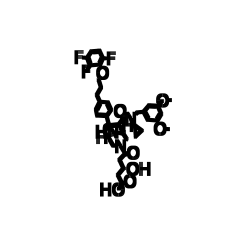 COc1cc(CN(C(=O)C2=C(c3ccc(CCCOc4c(F)ccc(F)c4F)cc3)C[C@@H]3CN(C(=O)C[C@H](O)CC(=O)O)C[C@H]2N3)C2CC2)cc(OC)c1